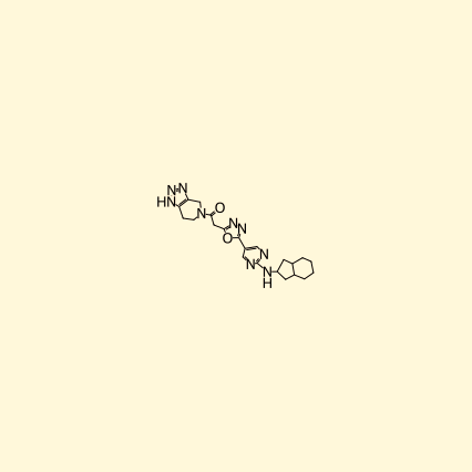 O=C(Cc1nnc(-c2cnc(NC3CC4CCCCC4C3)nc2)o1)N1CCc2[nH]nnc2C1